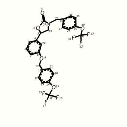 O=C1OC(c2cccc(OCc3ccc(OC(F)(F)F)cc3)c2)CN1Cc1ccc(OC(F)(F)F)cc1